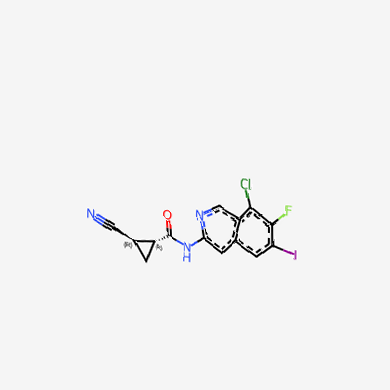 N#C[C@@H]1C[C@H]1C(=O)Nc1cc2cc(I)c(F)c(Cl)c2cn1